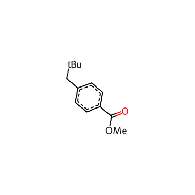 COC(=O)c1ccc(CC(C)(C)C)cc1